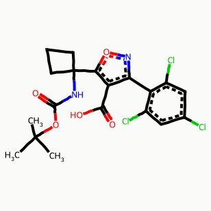 CC(C)(C)OC(=O)NC1(c2onc(-c3c(Cl)cc(Cl)cc3Cl)c2C(=O)O)CCC1